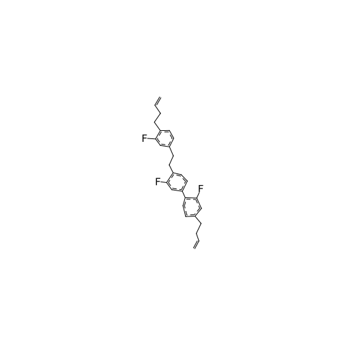 C=CCCc1ccc(-c2ccc(CCc3ccc(CCC=C)c(F)c3)c(F)c2)c(F)c1